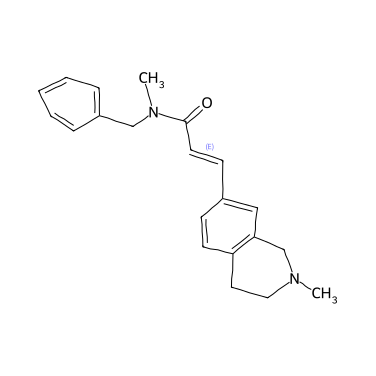 CN1CCc2ccc(/C=C/C(=O)N(C)Cc3ccccc3)cc2C1